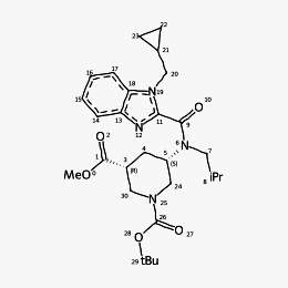 COC(=O)[C@@H]1C[C@H](N(CC(C)C)C(=O)c2nc3ccccc3n2CC2CC2)CN(C(=O)OC(C)(C)C)C1